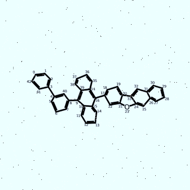 c1ccc(-c2cccc(-c3c4ccccc4c(-c4ccc5c(c4)oc4cc6ccccc6cc45)c4ccccc34)c2)cc1